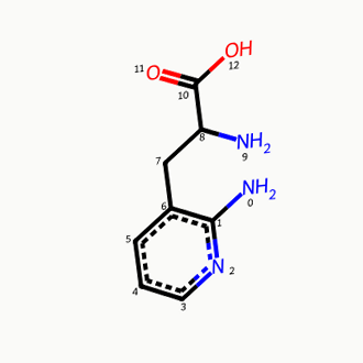 Nc1ncccc1CC(N)C(=O)O